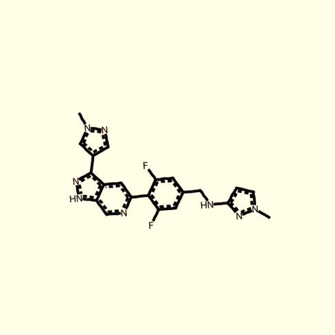 Cn1cc(-c2n[nH]c3cnc(-c4c(F)cc(CNc5ccn(C)n5)cc4F)cc23)cn1